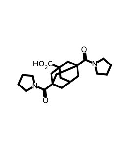 O=C(O)C12CC3CC(C(=O)N4CCCC4)(C1)CC(C(=O)N1CCCC1)(C3)C2